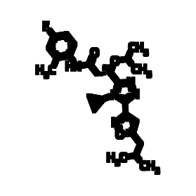 Cc1cc(F)ccc1NC(=O)C[C@H](OC(C)C)c1nnc(-c2cc(CC(C)C)on2)n1C1CC1